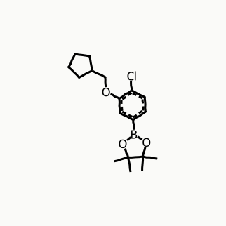 CC1(C)OB(c2ccc(Cl)c(OCC3CCCC3)c2)OC1(C)C